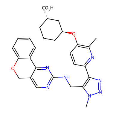 Cc1nc(-c2nnn(C)c2CNc2ncc3c(n2)-c2ccccc2OC3)ccc1O[C@H]1CCC[C@H](C(=O)O)C1